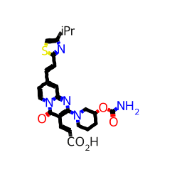 CC(C)c1csc(C=Cc2ccn3c(=O)c(C=CC(=O)O)c(N4CCCC(OC(N)=O)C4)nc3c2)n1